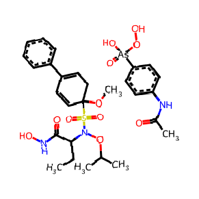 CC(=O)Nc1ccc([As](=O)(O)OO)cc1.CCC(C(=O)NO)N(OC(C)C)S(=O)(=O)C1(OC)C=CC(c2ccccc2)=CC1